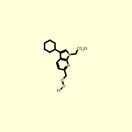 CCOOCc1ccc2c(C3CCCCC3)cn(CC(=O)OCC)c2n1